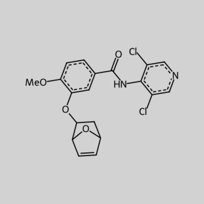 COc1ccc(C(=O)Nc2c(Cl)cncc2Cl)cc1OC1CC2C=CC1O2